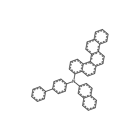 c1ccc(-c2ccc(N(c3ccc4ccccc4c3)c3cccc4c3ccc3ccc5c6ccccc6ccc5c34)cc2)cc1